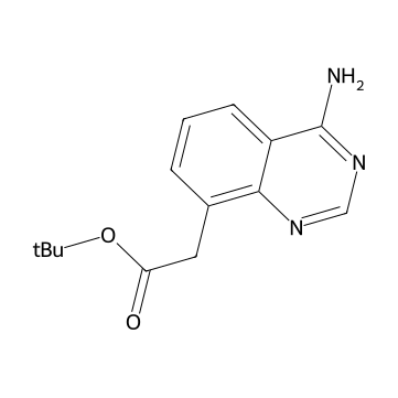 CC(C)(C)OC(=O)Cc1cccc2c(N)ncnc12